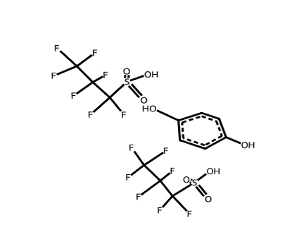 O=S(=O)(O)C(F)(F)C(F)(F)C(F)(F)F.O=S(=O)(O)C(F)(F)C(F)(F)C(F)(F)F.Oc1ccc(O)cc1